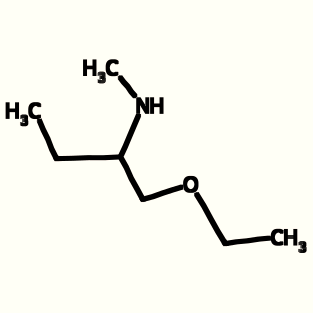 CCOCC(CC)NC